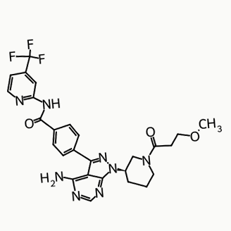 COCCC(=O)N1CCC[C@@H](n2nc(-c3ccc(C(=O)Nc4cc(C(F)(F)F)ccn4)cc3)c3c(N)ncnc32)C1